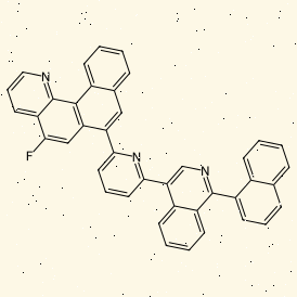 Fc1cc2c(-c3cccc(-c4cnc(-c5cccc6ccccc56)c5ccccc45)n3)cc3ccccc3c2c2ncccc12